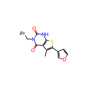 Cc1c(-c2ccoc2)sc2[nH]c(=O)n(CC(C)C)c(=O)c12